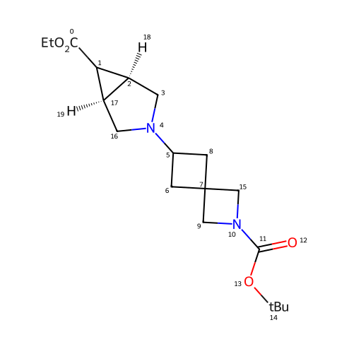 CCOC(=O)C1[C@H]2CN(C3CC4(C3)CN(C(=O)OC(C)(C)C)C4)C[C@@H]12